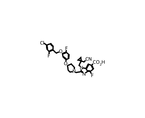 N#CCC1(Cn2c(CN3CCC(Oc4ccc(F)c(OCc5ccc(Cl)cc5F)c4)CC3)nc3c(F)cc(C(=O)O)cc32)CC1